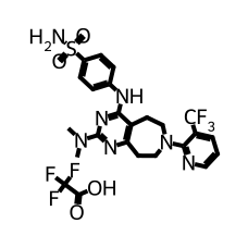 CN(C)c1nc2c(c(Nc3ccc(S(N)(=O)=O)cc3)n1)CCN(c1ncccc1C(F)(F)F)CC2.O=C(O)C(F)(F)F